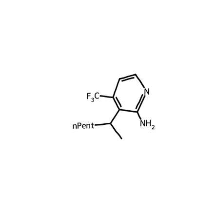 CCCCCC(C)c1c(C(F)(F)F)ccnc1N